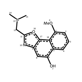 COc1cccc2c(O)cc3nc(CN(C)C)oc3c12